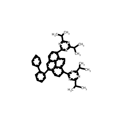 CC(C)c1nc(-c2ccc3cc(-c4ccccc4-c4ccccc4)c4ccc(-c5nc(C(C)C)nc(C(C)C)n5)c5ccc2c3c54)nc(C(C)C)n1